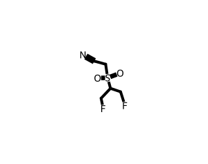 N#CCS(=O)(=O)C(CF)CF